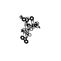 C=C[C@@](CC)(NC(=O)[C@@H]1C[C@@H](Oc2cc(-c3ccccc3)nc3cc(OC)ccc23)CN1C(=O)[C@H](CNC(=O)OCC1c2ccccc2-c2ccccc21)NC(=O)OC(C)(C)C)C(=O)OCC